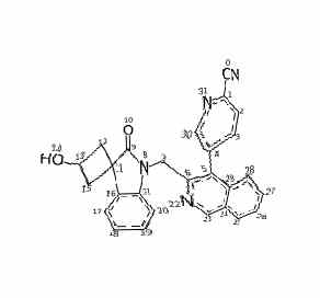 N#Cc1ccc(-c2c(CN3C(=O)C4(CC(O)C4)c4ccccc43)ncc3ccccc23)cn1